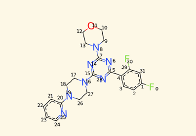 Fc1ccc(-c2nc(N3CCOCC3)nc(N3CCN(c4ccccn4)CC3)n2)c(F)c1